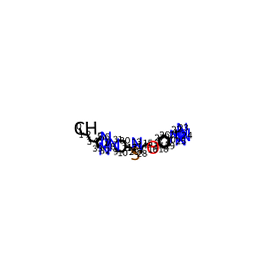 CCCCc1cnc(N2CCC(c3nc(COc4ccc(-n5cnnn5)cc4)cs3)CC2)nc1